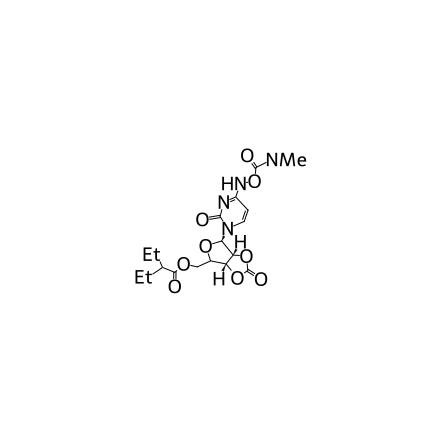 CCC(CC)C(=O)OCC1O[C@@H](n2ccc(NOC(=O)NC)nc2=O)[C@@H]2OC(=O)O[C@H]12